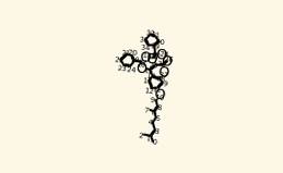 CC(C)=CCC/C(C)=C/COc1ccc2c(OC(=O)c3ccccc3)c(OC(=O)c3ccccc3)c(=O)oc2c1